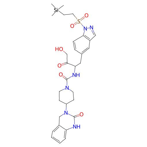 C[Si](C)(C)CCS(=O)(=O)n1ncc2cc(CC(NC(=O)N3CCC(N4Cc5ccccc5NC4=O)CC3)C(=O)CO)ccc21